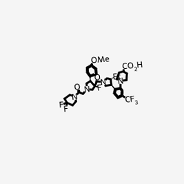 CC[C@H]1CN(C(=O)[C@]2(F)CN(CC(=O)N3CCC(F)(F)CC3)C[C@H]2c2ccc(OC)cc2)C[C@@H]1c1ccc(C(F)(F)F)cc1N1CCC(C(=O)O)CC1